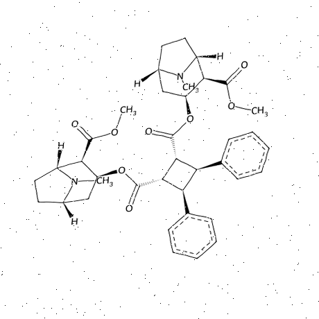 COC(=O)[C@H]1[C@@H](OC(=O)[C@@H]2[C@H](C(=O)O[C@H]3C[C@@H]4CC[C@H]([C@H]3C(=O)OC)N4C)[C@@H](c3ccccc3)[C@H]2c2ccccc2)C[C@@H]2CC[C@H]1N2C